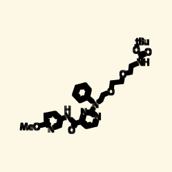 COc1ccc(NC(=O)c2ccnc(N(CCOCCOCCNC(=O)OC(C)(C)C)c3ccccc3)n2)cn1